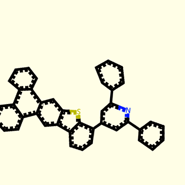 c1ccc(-c2cc(-c3cccc4c3sc3cc5c6ccccc6c6ccccc6c5cc34)cc(-c3ccccc3)n2)cc1